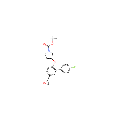 CC(C)(C)OC(=O)N1CC[C@H](Oc2ccc([C@H]3CO3)cc2-c2ccc(F)cc2)C1